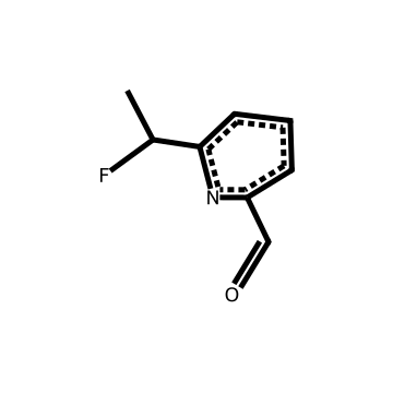 CC(F)c1cccc(C=O)n1